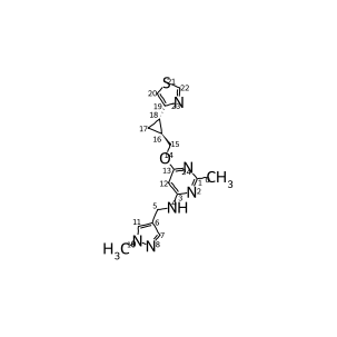 Cc1nc(NCc2cnn(C)c2)cc(OC[C@H]2C[C@@H]2c2cscn2)n1